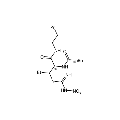 CCC(NC(=N)N[N+](=O)[O-])[C@H](NC(=O)[C@@H](C)CC)C(=O)N[CH]CC(C)C